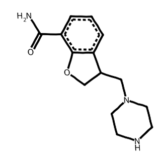 NC(=O)c1cccc2c1OCC2CN1CCNCC1